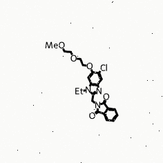 CCn1c(CN2C(=O)c3ccccc3C2=O)nc2cc(Cl)c(OCCOCCOC)cc21